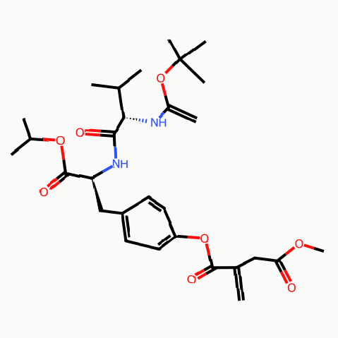 C=C(N[C@H](C(=O)N[C@@H](Cc1ccc(OC(=O)C(=C)CC(=O)OC)cc1)C(=O)OC(C)C)C(C)C)OC(C)(C)C